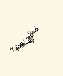 CS(=O)(=O)c1ccc(S(=O)(=O)NCC#Cc2cc3ncnc(Nc4ccc(OCc5cccc(F)c5)c(Cl)c4)c3s2)cc1